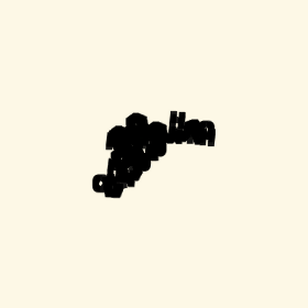 COc1nc(-c2cccc(-c3ccnc(-c4ccc5c(c4)S(=O)(=O)CCN(C[C@@H]4CCC(=O)N4)C5)c3Cl)c2Cl)ccc1CNCC1CCC(=O)N1